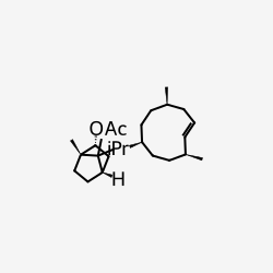 CC(=O)O[C@@H]1C[C@@H]2CC[C@@]1(C)C2(C)C.CC(C)[C@H]1CC[C@@H](C)C/C=C/[C@@H](C)CC1